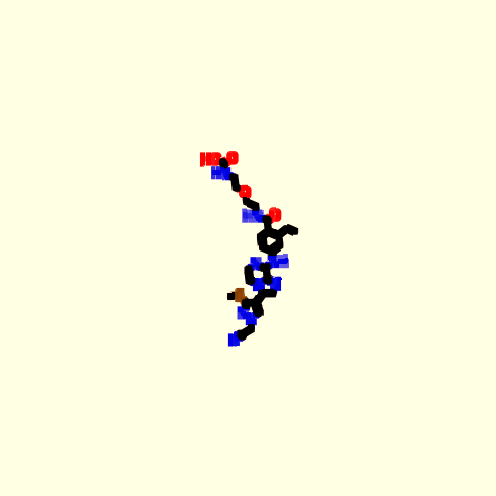 CCc1cc(Nc2nccn3c(-c4cn(CC#N)nc4SC)cnc23)ccc1C(=O)NCCOCCNC(=O)O